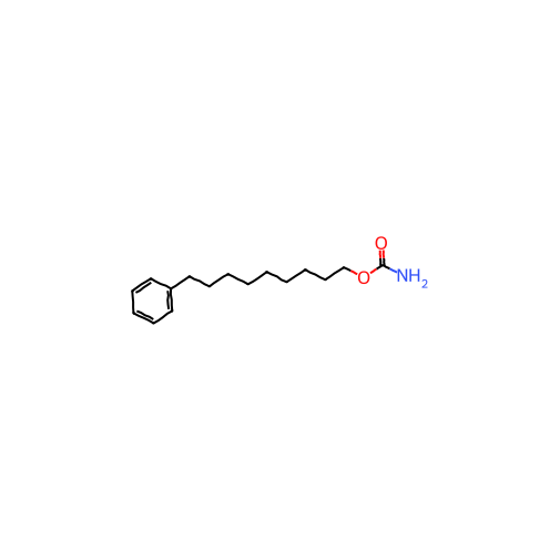 NC(=O)OCCCCCCCCCc1ccccc1